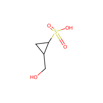 O=S(=O)(O)C1CC1CO